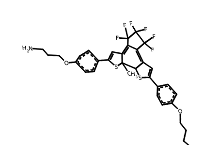 CC12SC(c3ccc(OCCCN)cc3)=CC1=C1C(=C3C=C(c4ccc(OCCCN)cc4)SC32)C(F)(F)C(F)(F)C1(F)F